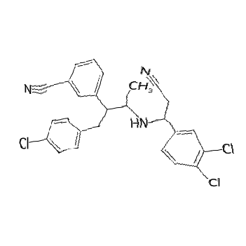 CC(NC(CC#N)c1ccc(Cl)c(Cl)c1)C(Cc1ccc(Cl)cc1)c1cccc(C#N)c1